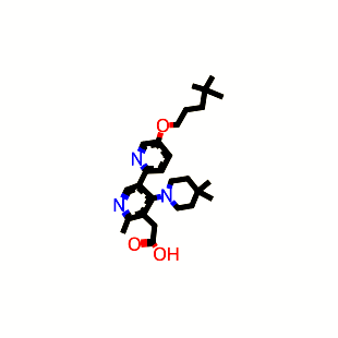 Cc1ncc(-c2ccc(OCCCC(C)(C)C)cn2)c(N2CCC(C)(C)CC2)c1CC(=O)O